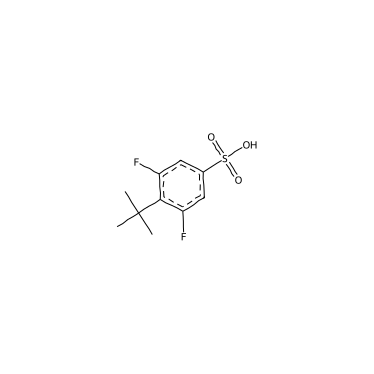 CC(C)(C)c1c(F)cc(S(=O)(=O)O)cc1F